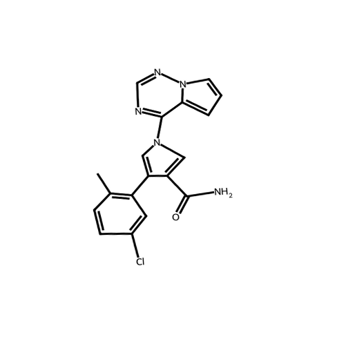 Cc1ccc(Cl)cc1-c1cn(-c2ncnn3cccc23)cc1C(N)=O